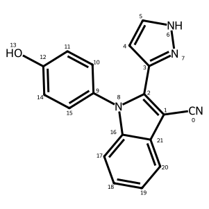 N#Cc1c(-c2cc[nH]n2)n(-c2ccc(O)cc2)c2ccccc12